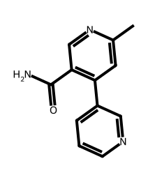 Cc1cc(-c2cccnc2)c(C(N)=O)cn1